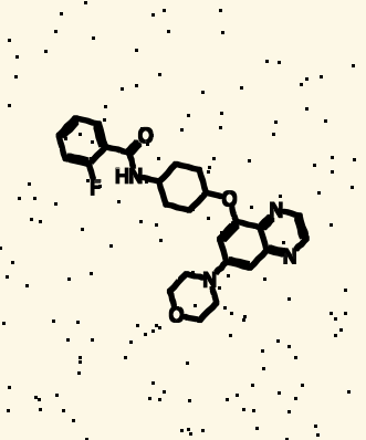 O=C(NC1CCC(Oc2cc(N3CCOCC3)cc3nccnc23)CC1)c1ccccc1F